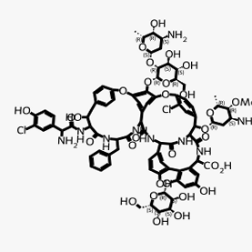 CO[C@@H]1[C@@H](N)C[C@H](OC2c3ccc(c(Cl)c3)Oc3cc4cc(c3O[C@H]3O[C@H](CO)[C@@H](O)[C@H](O)[C@H]3O[C@H]3C[C@H](N)[C@@H](O)[C@@H](C)O3)Oc3ccc(cc3)C(O)C(NC(=O)C(N)c3ccc(O)c(Cl)c3)C(=O)NC(Cc3ccccc3)C(=O)NC4C(=O)NC3C(=O)NC2C(=O)NC(C(=O)O)c2cc(O)cc(O[C@H]4O[C@@H](CO)[C@@H](O)[C@H](O)[C@@H]4O)c2-c2cc3ccc2O)O[C@@H]1C